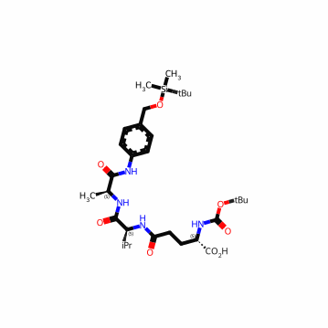 CC(C)[C@H](NC(=O)CC[C@H](NC(=O)OC(C)(C)C)C(=O)O)C(=O)N[C@@H](C)C(=O)Nc1ccc(CO[Si](C)(C)C(C)(C)C)cc1